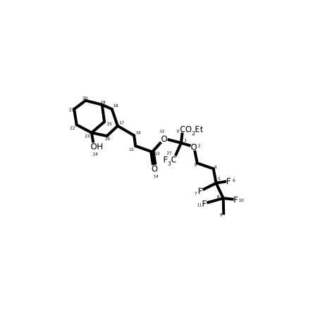 CCOC(=O)C(OCCC(F)(F)C(C)(F)F)(OC(=O)CCC1CC2CCCC(O)(C2)C1)C(F)(F)F